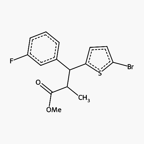 COC(=O)C(C)C(c1cccc(F)c1)c1ccc(Br)s1